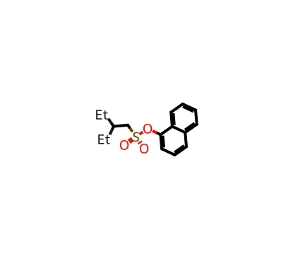 CCC(CC)CS(=O)(=O)Oc1cccc2ccccc12